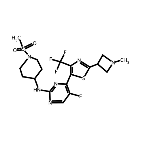 CN1CC(c2nc(C(F)(F)F)c(-c3nc(NC4CCN(S(C)(=O)=O)CC4)ncc3F)s2)C1